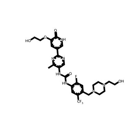 Cc1nc(-c2c[nH]c(=O)c(OCCO)c2)ncc1NC(=O)Nc1cc(C(F)(F)F)c(CN2CCN(CCO)CC2)cc1F